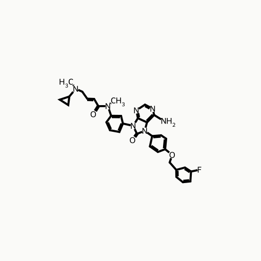 CN(C(=O)C=CCN(C)C1CC1)c1cccc(-n2c(=O)n(-c3ccc(OCc4cccc(F)c4)cc3)c3c(N)ncnc32)c1